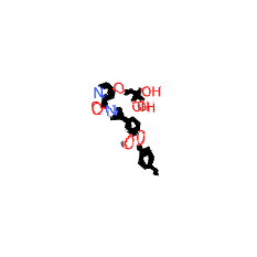 CCc1ccc(COc2ccc(C3CN(C(=O)c4cc(OCCC(CO)(CO)CO)ccn4)C3)cc2OC)cc1